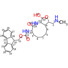 CNCCC1CCCCCC(NC(=O)OCC2c3ccccc3-c3ccccc32)C(=O)NC1C(=O)O